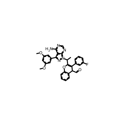 COc1cc(OC)cc(-c2nn(C(C)C3=C(c4cccc(F)c4)C(C=O)c4ccccc4O3)c3ncnc(N)c23)c1